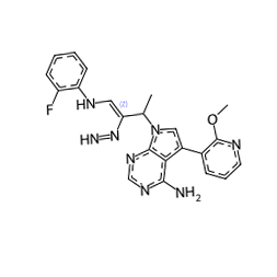 COc1ncccc1-c1cn(C(C)/C(=C/Nc2ccccc2F)N=N)c2ncnc(N)c12